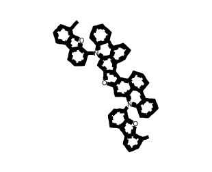 Cc1cccc2c1oc1c(-n3c4ccccc4c4cccc5c6c(cc3c45)oc3cc4c5c(cccc5c36)c3ccccc3n4-c3cccc4c3oc3c(C)cccc34)cccc12